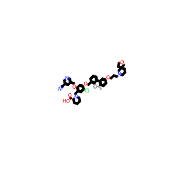 Cc1c(COc2cc(OCc3cncc(C#N)c3)c(CN3CCCC[C@H]3C(=O)O)cc2Cl)cccc1-c1cccc(OCCCN2CCCC3(CCOC3)C2)c1